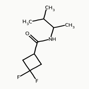 CC(C)C(C)NC(=O)C1CC(F)(F)C1